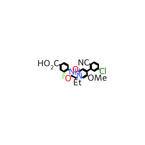 CC[C@@H](C(=O)Nc1ccc(C(=O)O)cc1F)n1cc(OC)c(-c2cc(Cl)ccc2C#N)cc1=O